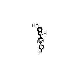 Oc1ccc2[nH]c(-c3cnc(N4CCC(CF)CC4)nc3)cc2c1